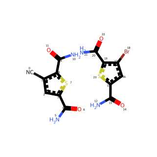 N#Cc1cc(C(N)=O)sc1C(N)=O.NC(=O)c1cc(Br)c(C(N)=O)s1